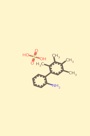 Cc1cc(-c2ccccc2N)c(C)c(C)c1C.O=S(=O)(O)O